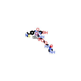 Cc1ncsc1-c1ccc(CNC(=O)[C@@H]2C[C@@H](O)CN2C(=O)[C@@H](NC(=O)COCCOCCNC(=O)N2CCNCC2)C(C)(C)C)cc1